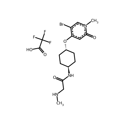 CNCC(=O)N[C@H]1CC[C@H](Oc2cc(=O)n(C)cc2Br)CC1.O=C(O)C(F)(F)F